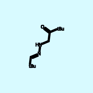 CC(C)(C)C=NNCC(=O)C(C)(C)C